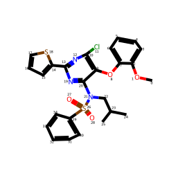 COc1ccccc1Oc1c(Cl)nc(-c2cccs2)nc1N(CC(C)C)S(=O)(=O)c1ccccc1